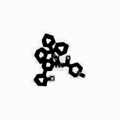 CN1CCC(C(=O)Nc2nn(C(c3ccccc3)(c3ccccc3)c3ccccc3)c3ccc(-c4ccccc4Cl)cc23)CC1